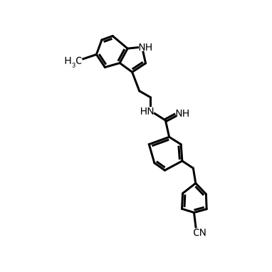 Cc1ccc2[nH]cc(CCNC(=N)c3cccc(Cc4ccc(C#N)cc4)c3)c2c1